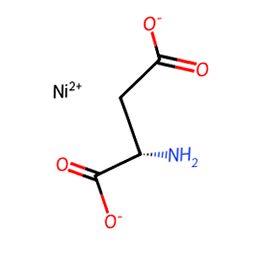 N[C@@H](CC(=O)[O-])C(=O)[O-].[Ni+2]